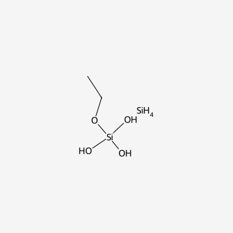 CCO[Si](O)(O)O.[SiH4]